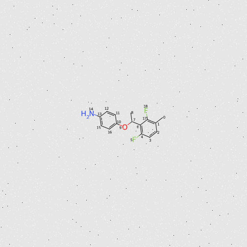 Cc1ccc(F)c(C(C)Oc2ccc(N)cc2)c1F